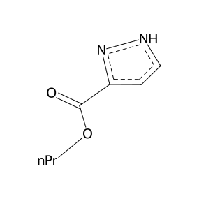 CCCOC(=O)c1cc[nH]n1